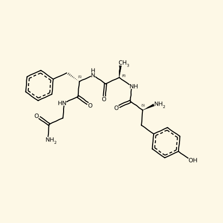 C[C@@H](NC(=O)[C@@H](N)Cc1ccc(O)cc1)C(=O)N[C@@H](Cc1ccccc1)C(=O)NCC(N)=O